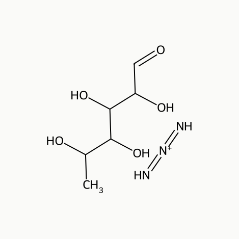 CC(O)C(O)C(O)C(O)C=O.N=[N+]=N